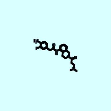 CN(C)CCC(=O)N1CCc2c(cccc2NC(=O)Cc2ccc(C(F)(F)F)c(F)c2)C1